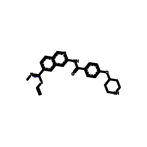 C=CS/C(=N\C)c1ccc2cnc(NC(=O)c3ccc(OC4CCNCC4)cc3)cc2c1